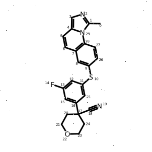 Cc1ncc2ccc3cc(Sc4cc(F)cc(C5(C#N)CCOCC5)c4)ccc3n12